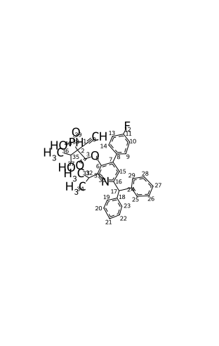 C#CC(C(=O)Oc1c(-c2ccc(F)cc2)cc(C(c2ccccc2)c2ccccc2)nc1C(C)C)(C(C)O)[PH](=O)O